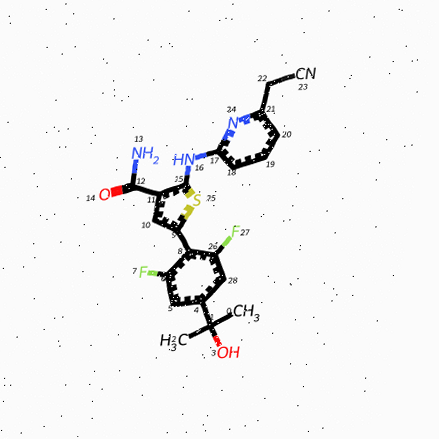 CC(C)(O)c1cc(F)c(-c2cc(C(N)=O)c(Nc3cccc(CC#N)n3)s2)c(F)c1